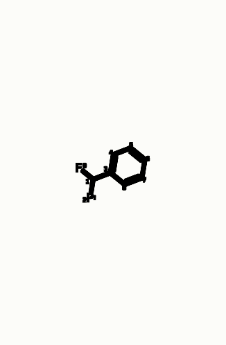 FC([P])c1ccccc1